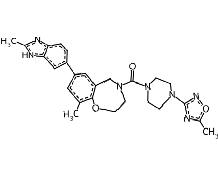 Cc1nc2ccc(-c3cc(C)c4c(c3)CN(C(=O)N3CCN(c5noc(C)n5)CC3)CCO4)cc2[nH]1